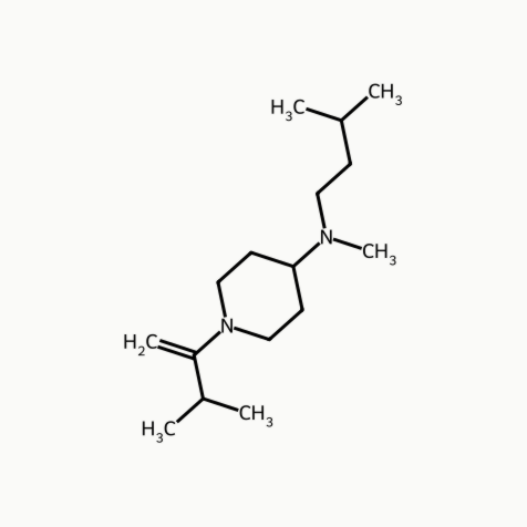 C=C(C(C)C)N1CCC(N(C)CCC(C)C)CC1